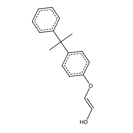 CC(C)(c1ccccc1)c1ccc(OC=CO)cc1